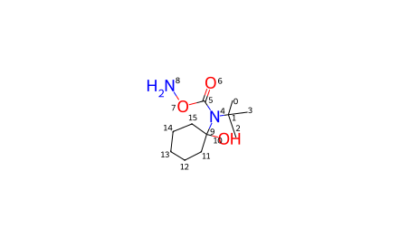 CC(C)(C)N(C(=O)ON)C1(O)CCCCC1